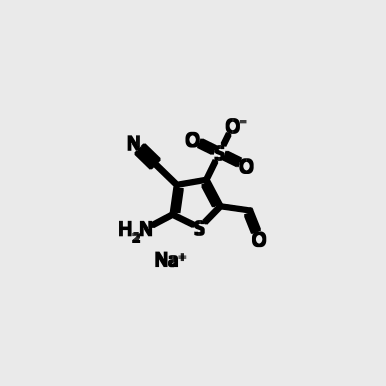 N#Cc1c(N)sc(C=O)c1S(=O)(=O)[O-].[Na+]